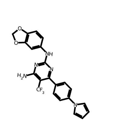 Nc1nc(Nc2ccc3c(c2)OCO3)nc(-c2ccc(-n3cccc3)cc2)c1C(F)(F)F